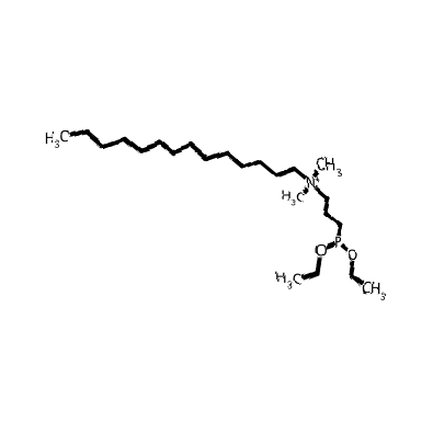 CCCCCCCCCCCCCC[N+](C)(C)CCCP(OCC)OCC